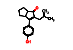 C=C(C)CC1=C(c2ccc(O)cc2)C2CCCC2C1=O